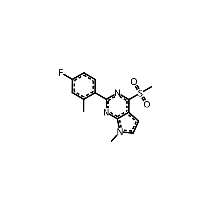 Cc1cc(F)ccc1-c1nc(S(C)(=O)=O)c2ccn(C)c2n1